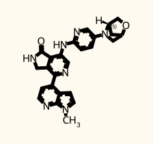 Cn1ccc2c(-c3ncc(Nc4ccc(N5CC6C[C@H]5CO6)cn4)c4c3CNC4=O)ccnc21